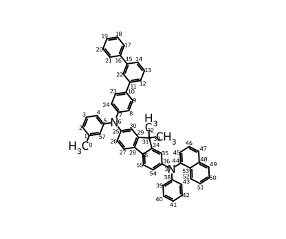 Cc1cccc(N(c2ccc(-c3cccc(-c4ccccc4)c3)cc2)c2ccc3c(c2)C(C)(C)c2cc(N(c4ccccc4)c4cccc5ccccc45)ccc2-3)c1